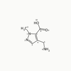 Cn1ncc(CN)c1C(=O)O